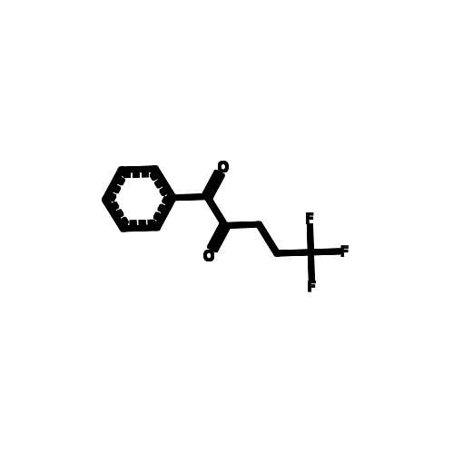 O=C(CCC(F)(F)F)C(=O)c1ccccc1